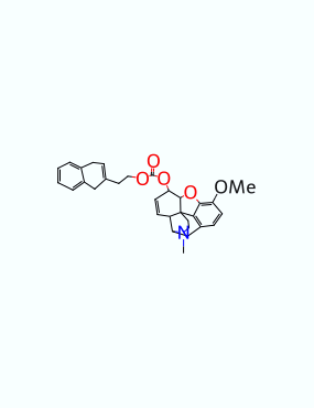 COc1ccc2c3c1OC1C(OC(=O)OCCC4=CCc5ccccc5C4)C=CC4C(C2)N(C)CCC341